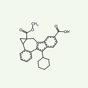 COC(=O)C12CC1c1ccccc1-c1c(C3CCCCC3)c3ccc(C(=O)O)cc3n1C2